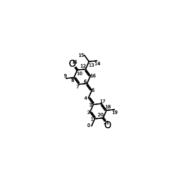 CC1=CC(=C/C=C2\C=C(C)C(=O)C(C(C)C)=C2)C=C(C)C1=O